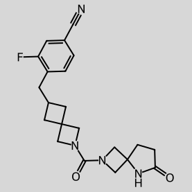 N#Cc1ccc(CC2CC3(C2)CN(C(=O)N2CC4(CCC(=O)N4)C2)C3)c(F)c1